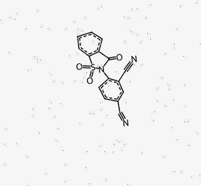 N#Cc1ccc(N2C(=O)c3ccccc3S2(=O)=O)c(C#N)c1